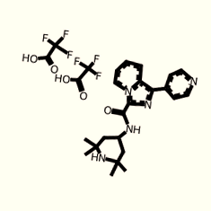 CC1(C)CC(NC(=O)c2nc(-c3ccncc3)c3ccccn23)CC(C)(C)N1.O=C(O)C(F)(F)F.O=C(O)C(F)(F)F